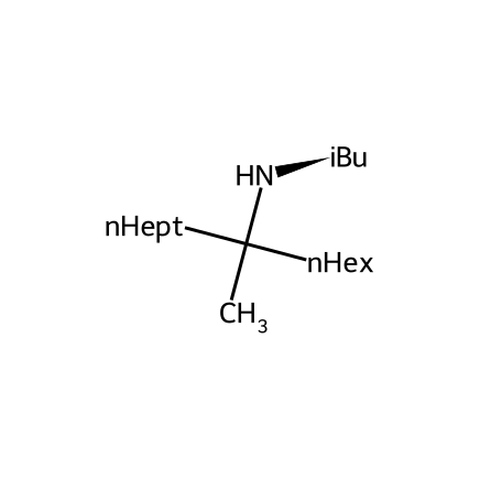 CCCCCCCC(C)(CCCCCC)N[C@H](C)CC